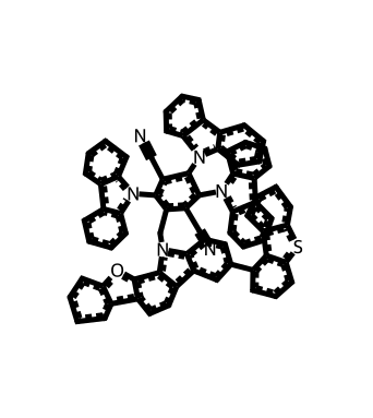 N#Cc1c(Cn2c3ccc(-c4cccc5sc6ccccc6c45)cc3c3ccc4c5ccccc5oc4c32)c(-n2c3ccccc3c3ccccc32)c(C#N)c(-n2c3ccccc3c3ccccc32)c1-n1c2ccccc2c2ccccc21